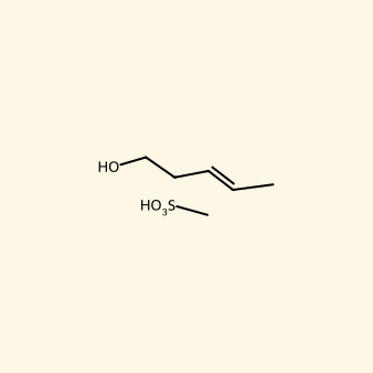 C/C=C/CCO.CS(=O)(=O)O